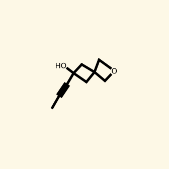 CC#CC1(O)CC2(COC2)C1